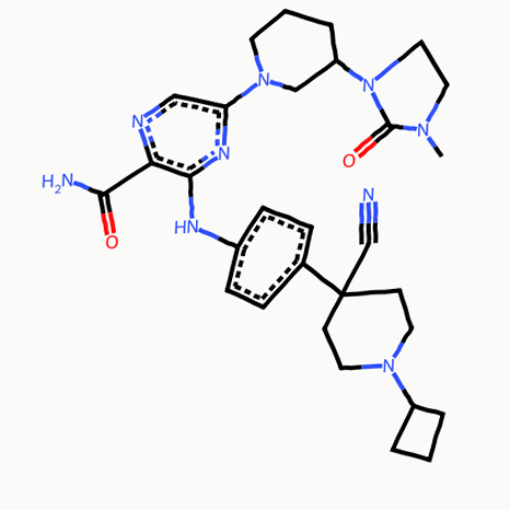 CN1CCN(C2CCCN(c3cnc(C(N)=O)c(Nc4ccc(C5(C#N)CCN(C6CCC6)CC5)cc4)n3)C2)C1=O